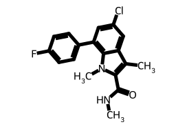 CNC(=O)c1c(C)c2cc(Cl)cc(-c3ccc(F)cc3)c2n1C